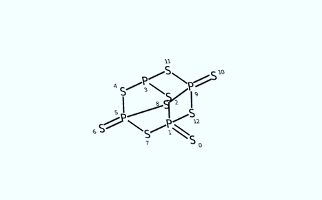 S=P12SP3SP(=S)(S1)SP(=S)(S3)S2